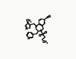 CCCS(=O)(=O)N1Cc2cc(C#N)ccc2N(Cc2cncn2C)CC1Cc1cccnc1